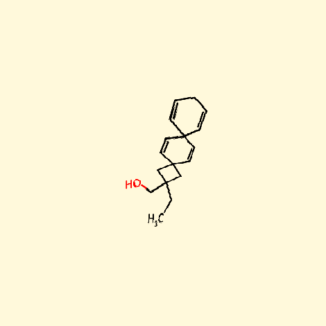 CCC1(CO)CC2(C=CC3(C=CCC=C3)C=C2)C1